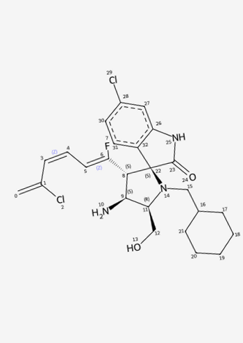 C=C(Cl)/C=C\C=C(/F)[C@H]1[C@H](N)[C@H](CO)N(CC2CCCCC2)[C@@]12C(=O)Nc1cc(Cl)ccc12